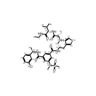 CCNC(=O)[C@@H](NC(=O)[C@H](C)NC[C@H](Cc1ccsc1)NC(=O)c1cc(C(=O)N[C@H](C)c2cccc(Cl)c2)cc(N(C)S(C)(=O)=O)c1)C(C)C